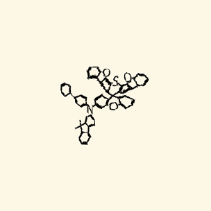 CC1(C)c2ccccc2-c2ccc(N(c3ccc(-c4ccccc4)cc3)c3ccc4c(c3)Oc3ccccc3C43c4ccc5c(c4Sc4c3ccc3c4oc4ccccc43)OC3C=CC=CC53)cc21